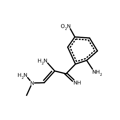 CN(N)/C=C(\N)C(=N)c1cc([N+](=O)[O-])ccc1N